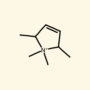 CC1C=CC(C)[N+]1(C)C